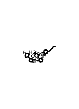 CCCCCc1ccc(CNC(=O)C(c2c(Br)cccc2Br)N(Cc2cccc(-c3ccc(F)cc3)c2)C(=O)C(=O)O)cc1